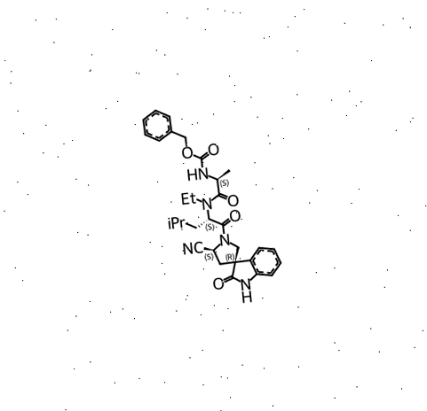 CCN(C(=O)[C@H](C)NC(=O)OCc1ccccc1)[C@@H](CC(C)C)C(=O)N1C[C@]2(C[C@H]1C#N)C(=O)Nc1ccccc12